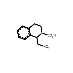 O=C(O)N1CCc2ccccc2C1C[N+](=O)[O-]